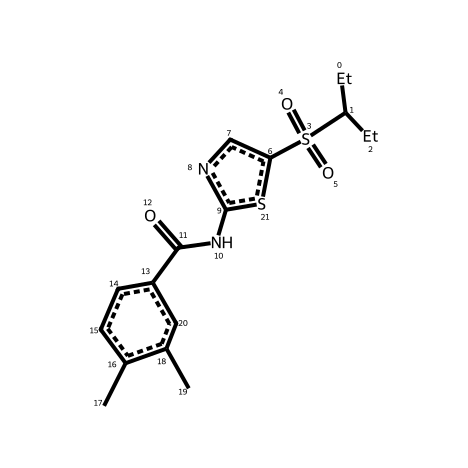 CCC(CC)S(=O)(=O)c1cnc(NC(=O)c2ccc(C)c(C)c2)s1